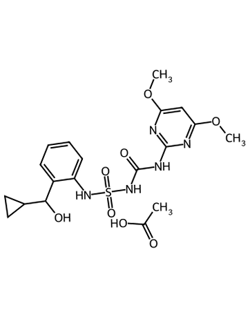 CC(=O)O.COc1cc(OC)nc(NC(=O)NS(=O)(=O)Nc2ccccc2C(O)C2CC2)n1